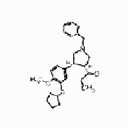 CCC(=O)[C@H]1CN(Cc2ccccc2)C[C@@H]1c1ccc(OC)c(OC2CCCC2)c1